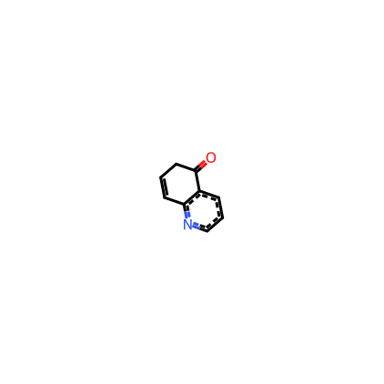 O=C1CC=Cc2ncccc21